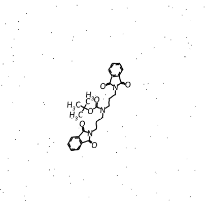 CC(C)(C)OC(=O)N(CCCN1C(=O)c2ccccc2C1=O)CCCN1C(=O)c2ccccc2C1=O